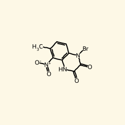 Cc1ccc2c([nH]c(=O)c(=O)n2Br)c1[N+](=O)[O-]